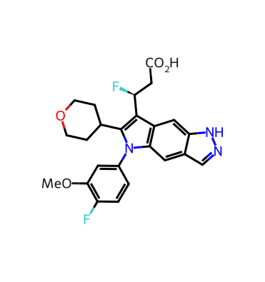 COc1cc(-n2c(C3CCOCC3)c([C@@H](F)CC(=O)O)c3cc4[nH]ncc4cc32)ccc1F